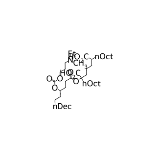 CCCCCCCCCCCCC(CCC(=O)OC(CCCCCCCC)(CCCC(CCCCCCCC)C(=O)O)C(=O)O)OC(=O)OCCCN(C)CC